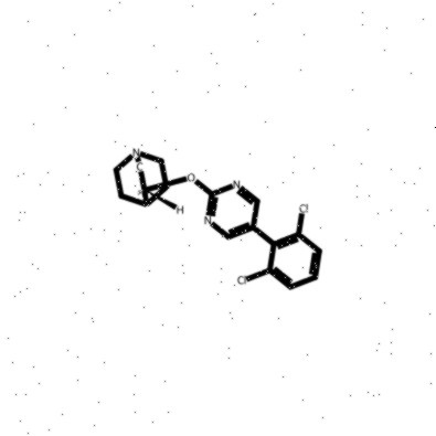 Clc1cccc(Cl)c1-c1cnc(O[C@H]2CN3CCC2CC3)nc1